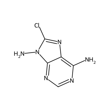 Nc1ncnc2c1nc(Cl)n2N